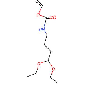 C=COC(=O)NCCCC(OCC)OCC